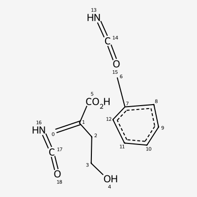 C=C(CCO)C(=O)O.Cc1ccccc1.N=C=O.N=C=O